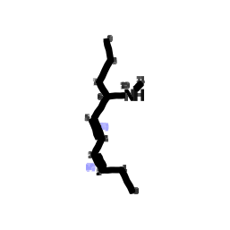 CC/C=C\C=C\C(CCC)NC